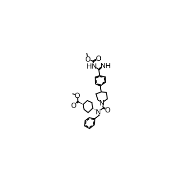 COC(=O)NC(=N)c1ccc(C2CCN(C(=O)N(Cc3ccccc3)[C@H]3CC[C@H](C(=O)OC)CC3)CC2)cc1